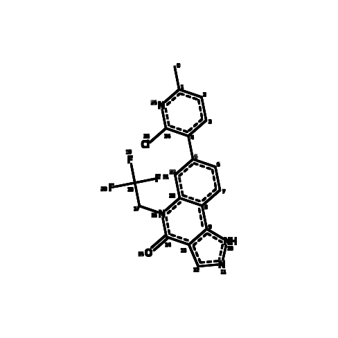 Cc1ccc(-c2ccc3c4[nH]ncc4c(=O)n(CC(F)(F)F)c3c2)c(Cl)n1